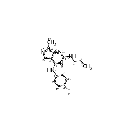 C=CCNc1nc(Nc2ccc(F)cc2)c2cnn(C)c2n1